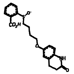 O=C1CCc2cc(OCCCC[S+]([O-])c3ccccc3C(=O)O)ccc2N1